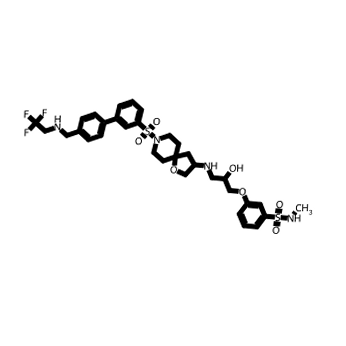 CNS(=O)(=O)c1cccc(OCC(O)CNC2COC3(CCN(S(=O)(=O)c4cccc(-c5ccc(CNCC(F)(F)F)cc5)c4)CC3)C2)c1